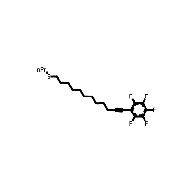 CCCSCCCCCCCCCCC#Cc1c(F)c(F)c(F)c(F)c1F